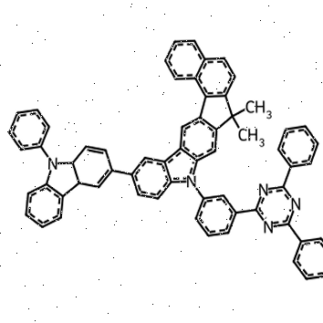 CC1(C)c2cc3c(cc2-c2c1ccc1ccccc21)c1cc(C2=CC4c5ccccc5N(c5ccccc5)C4C=C2)ccc1n3-c1cccc(-c2nc(-c3ccccc3)nc(-c3ccccc3)n2)c1